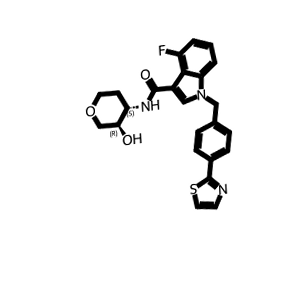 O=C(N[C@H]1CCOC[C@@H]1O)c1cn(Cc2ccc(-c3nccs3)cc2)c2cccc(F)c12